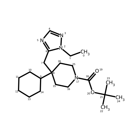 CCn1ncnc1CC1(C2CCCCC2)CCN(C(=O)OC(C)(C)C)CC1